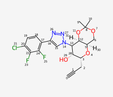 C#CC[C@H]1O[C@@H]2COC(C)(C)O[C@@H]2C(n2cc(-c3ccc(Cl)c(F)c3F)nn2)[C@H]1O